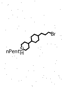 CCCCC[SiH]1CCC(C2CCC(CCCBr)CC2)CC1